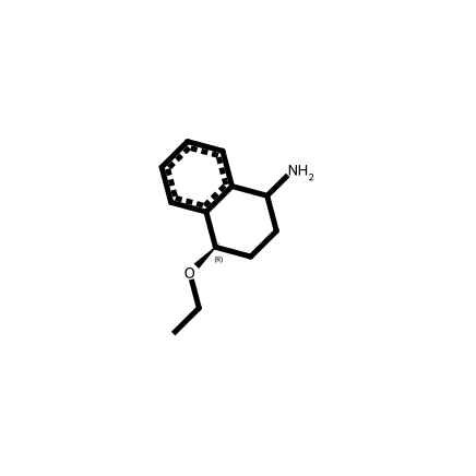 CCO[C@@H]1CCC(N)c2ccccc21